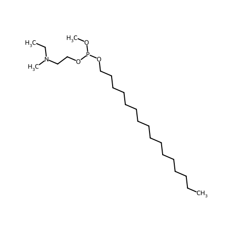 CCCCCCCCCCCCCCCCOP(OC)OCCN(C)CC